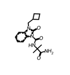 CC(C)(NC(=O)n1c(=O)n(CC2CCC2)c2ccccc21)C(N)=O